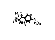 CCCCSc1ccc(C(C)C(N)CF)cc1